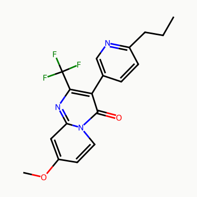 CCCc1ccc(-c2c(C(F)(F)F)nc3cc(OC)ccn3c2=O)cn1